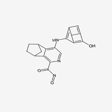 O=NC(=O)c1ncc(NC2=C3C=C4C(O)=C2C43)c2c1C1CCC2C1